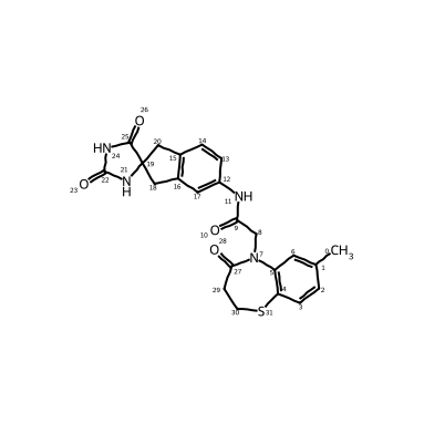 Cc1ccc2c(c1)N(CC(=O)Nc1ccc3c(c1)CC1(C3)NC(=O)NC1=O)C(=O)CCS2